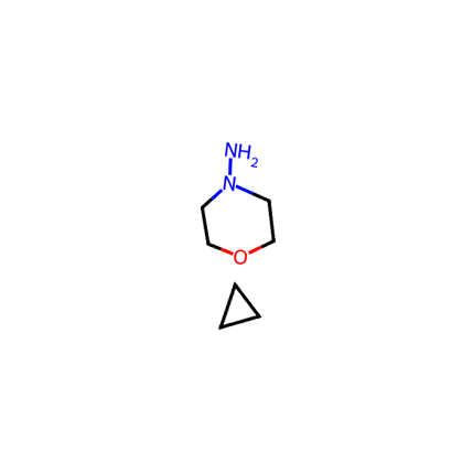 C1CC1.NN1CCOCC1